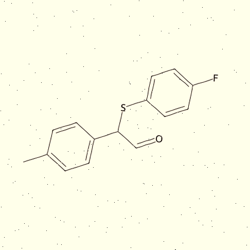 Cc1ccc(C(C=O)Sc2ccc(F)cc2)cc1